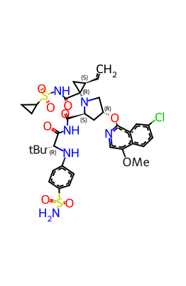 C=C[C@@H]1C[C@@]1(C(=O)NS(=O)(=O)C1CC1)N1C[C@H](Oc2ncc(OC)c3ccc(Cl)cc23)C[C@H]1C(=O)NC(=O)[C@H](Nc1ccc(S(N)(=O)=O)cc1)C(C)(C)C